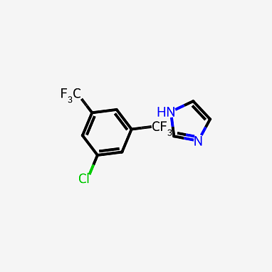 FC(F)(F)c1cc(Cl)cc(C(F)(F)F)c1.c1c[nH]cn1